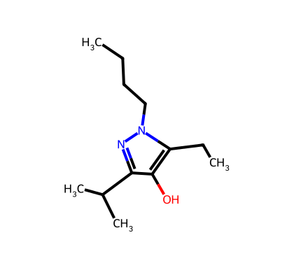 CCCCn1nc(C(C)C)c(O)c1CC